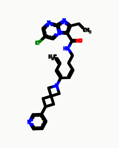 C=C/C=C(\C=C/CCNC(=O)c1c(CC)nc2ncc(Cl)cn12)N1CC2(CC(c3cccnc3)C2)C1